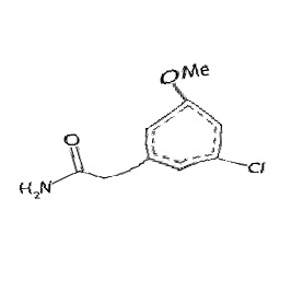 COc1cc(Cl)cc(CC(N)=O)c1